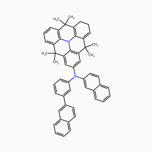 CC1(C)C2=CCCC3=C2N2c4c1cc(N(c1cccc(-c5ccc6ccccc6c5)c1)c1ccc5ccccc5c1)cc4C(C)(C)c1cccc(c12)C3(C)C